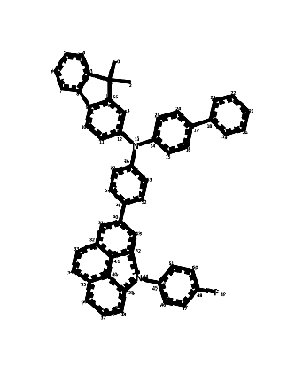 CC1(C)c2ccccc2-c2ccc(N(c3ccc(-c4ccccc4)cc3)c3ccc(-c4cc5ccc6cccc7c6c5c(c4)n7-c4ccc(F)cc4)cc3)cc21